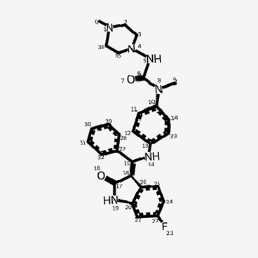 CN1CCN(NC(=O)N(C)c2ccc(NC(=C3C(=O)Nc4cc(F)ccc43)c3ccccc3)cc2)CC1